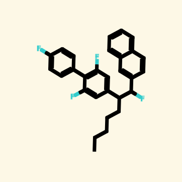 CCCCCC(c1cc(F)c(-c2ccc(F)cc2)c(F)c1)C(F)c1ccc2ccccc2c1